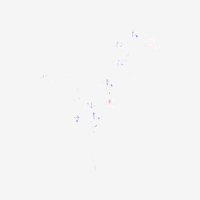 COc1cc(N2CCN(C(=O)Cn3nc(-c4ccc(F)cc4)nc3-c3ccc(F)cc3)CC2)ncn1